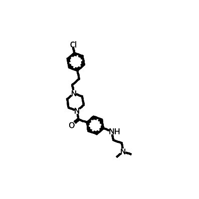 CN(C)CCNc1ccc(C(=O)N2CCN(CCc3ccc(Cl)cc3)CC2)cc1